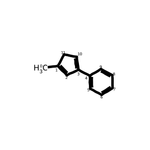 CC1=CC(c2ccccc2)=CC1